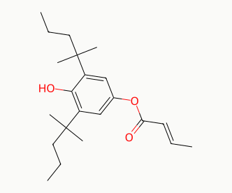 CC=CC(=O)Oc1cc(C(C)(C)CCC)c(O)c(C(C)(C)CCC)c1